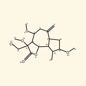 C=C1CC(OC)C2C(OC(=O)C2(CCl)OC)C2C1CC(OC)C2C